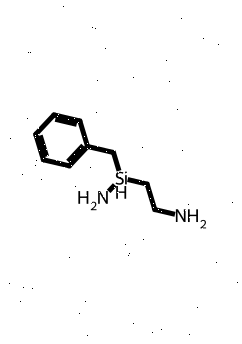 NCC[SiH](N)Cc1ccccc1